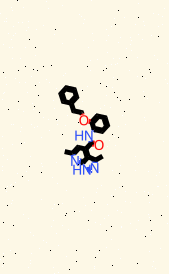 Cc1cc(C(=O)Nc2ccccc2OCCc2ccccc2)c2c(C)n[nH]c2n1